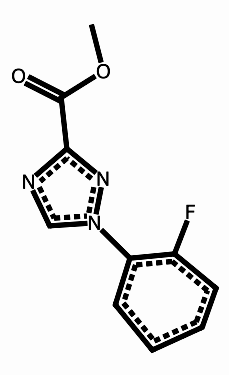 COC(=O)c1ncn(-c2ccccc2F)n1